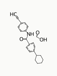 C#Cc1ccc(NC(=O)c2ccc(C3CCCCC3)cc2)cc1.O=CO